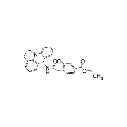 CCOC(=O)c1ccc(CC(=O)NC(c2ccccc2)c2ccccc2N2CCCCC2)c(Cl)c1